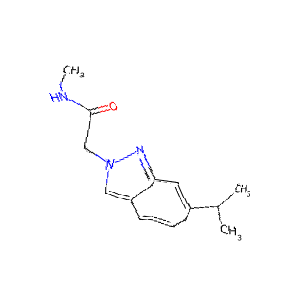 CNC(=O)Cn1cc2ccc(C(C)C)cc2n1